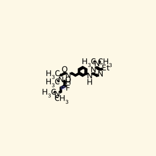 CCc1ncc(Nc2cccc(CCNC(=O)C(C)N(C)C(=O)/C(F)=C/CN(C)C)c2)nc1N(C)C